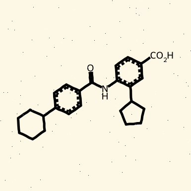 O=C(O)c1ccc(NC(=O)c2ccc(C3CCCCC3)cc2)c(C2CCCC2)c1